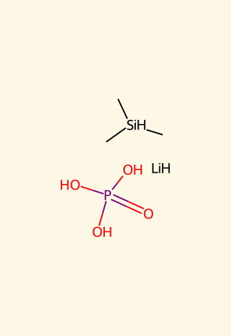 C[SiH](C)C.O=P(O)(O)O.[LiH]